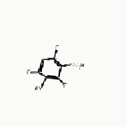 CC(C)c1c(F)cc(F)c(C(=O)O)c1F